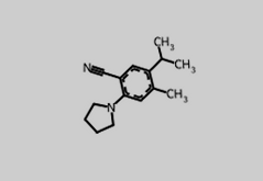 Cc1cc(N2CCCC2)c(C#N)cc1C(C)C